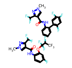 Cn1cc(C(=O)Nc2ccc(F)cc2OC(F)(F)C(F)C(F)(F)F)c(C(F)F)n1.Cn1cc(C(=O)Nc2ccccc2-c2cc(F)c(F)cc2F)c(C(F)F)n1